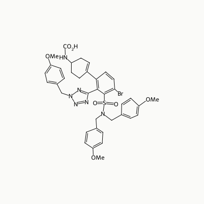 COc1ccc(CN(Cc2ccc(OC)cc2)S(=O)(=O)c2c(Br)ccc(C3=CCC(NC(=O)O)CC3)c2-c2nnn(Cc3ccc(OC)cc3)n2)cc1